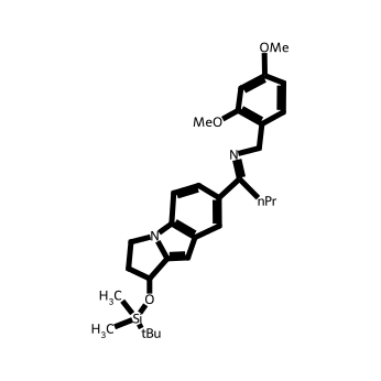 CCCC(=NCc1ccc(OC)cc1OC)c1ccc2c(c1)cc1n2CCC1O[Si](C)(C)C(C)(C)C